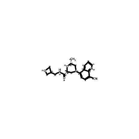 C[C@@H]1CN(c2ccc(C#N)c3ncccc23)C[C@H](C(=O)NCC2COC2)O1